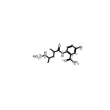 CC(CC(C)C(=O)Nc1ccc(Br)cc1C(N)=O)NC(=O)O